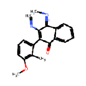 C=NC1=C(c2cccc(OC)c2C)C(=O)c2ccccc2/C1=N/C